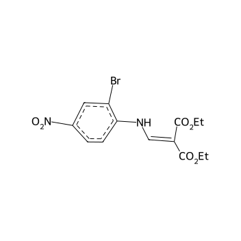 CCOC(=O)C(=CNc1ccc([N+](=O)[O-])cc1Br)C(=O)OCC